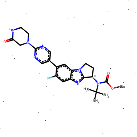 BC(B)(B)N(C(=O)OC(C)(C)C)[C@@H]1CCn2c1nc1cc(F)c(-c3cnc(N4CCNC(=O)C4)nc3)cc12